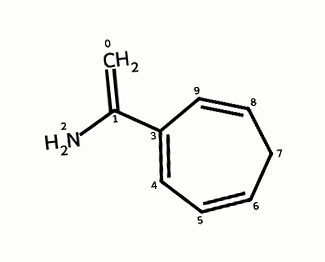 C=C(N)C1=CC=CCC=C1